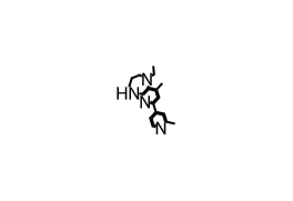 CCN1CCCNc2nc(-c3ccnc(C)c3)cc(C)c21